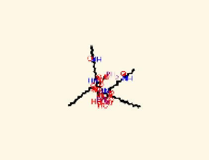 CCCCCCCCCCCCCC(=O)O[C@@H]1[C@H](NC(=O)CCCCCCCNC(=O)CCCCC)[C@@H](OCCOP)O[C@H](CO[C@@H]2O[C@H](CO)[C@@H](OP(=O)(O)O)[C@H](OC(=O)CCCCCCCCCCCCC)[C@@H]2NC(=O)CCCCCCCNC(=O)CCCCC)[C@H]1OCCOP